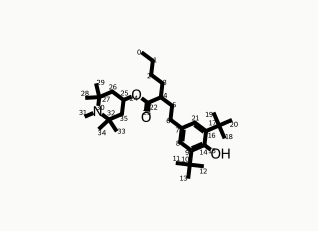 CCCCC(CCc1cc(C(C)(C)C)c(O)c(C(C)(C)C)c1)C(=O)OC1CC(C)(C)N(C)C(C)(C)C1